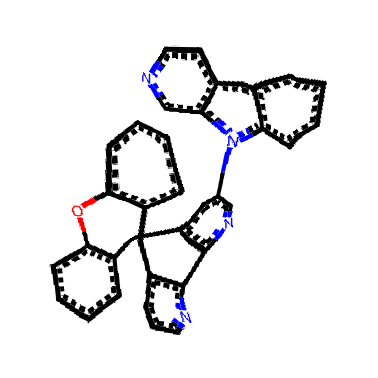 c1ccc2c(c1)Oc1ccccc1C21c2cccnc2-c2ncc(-n3c4ccccc4c4ccncc43)cc21